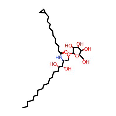 CCCCCCCCCCCCCC[C@@H](O)[C@@H](O)[C@H](COC1OC(CO)C(O)C(O)C1O)NC(=O)CCCCCCCCCCC1CC1